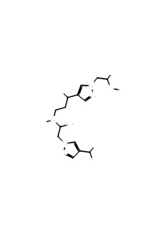 COC(C)Cn1cc(C(C)CCN(C)C(O)Cn2cc(C(C)S)cn2)cn1